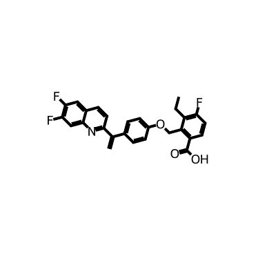 C=C(c1ccc(OCc2c(C(=O)O)ccc(F)c2CC)cc1)c1ccc2cc(F)c(F)cc2n1